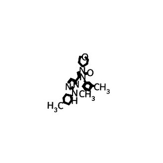 Cc1cc(C)cc(-n2c(-c3ccnc(N[C@H]4CC[C@H](C)CC4)n3)cn(C3CCOCC3)c2=O)c1